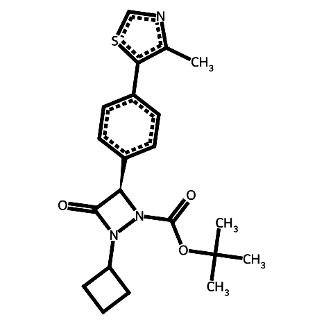 Cc1ncsc1-c1ccc([C@@H]2C(=O)N(C3CCC3)N2C(=O)OC(C)(C)C)cc1